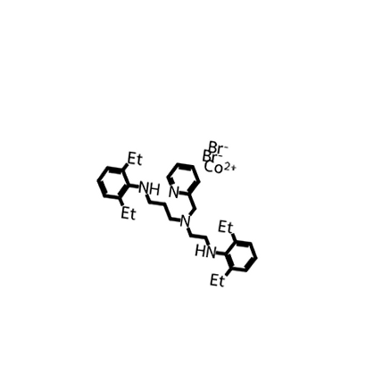 CCc1cccc(CC)c1NCCCN(CCNc1c(CC)cccc1CC)Cc1ccccn1.[Br-].[Br-].[Co+2]